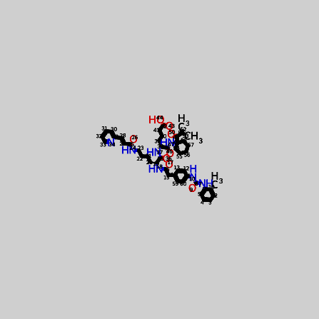 Cc1ccccc1NC(=O)Nc1ccc(CC(=O)N[C@@H](CCCCNC(=O)/C=C/c2ccccn2)C(=O)N[C@@H](CCCC(=O)O)C(=O)NC2(C(=O)C(C)C)CCCCC2)cc1